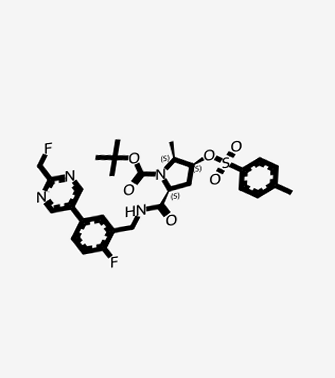 Cc1ccc(S(=O)(=O)O[C@H]2C[C@@H](C(=O)NCc3cc(-c4cnc(CF)nc4)ccc3F)N(C(=O)OC(C)(C)C)[C@H]2C)cc1